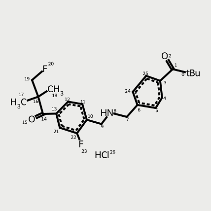 CC(C)(C)C(=O)c1ccc(CNCc2ccc(C(=O)C(C)(C)CF)cc2F)cc1.Cl